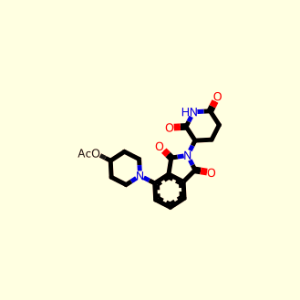 CC(=O)OC1CCN(c2cccc3c2C(=O)N(C2CCC(=O)NC2=O)C3=O)CC1